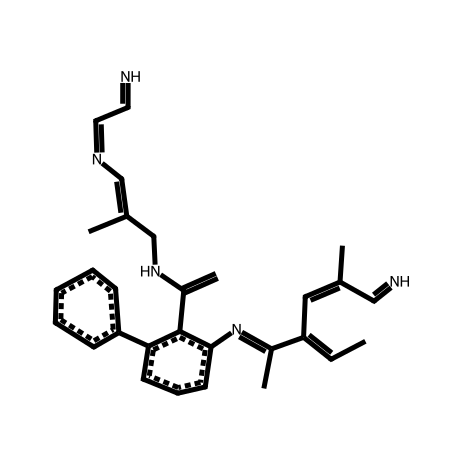 C=C(NC/C(C)=C/N=C\C=N)c1c(/N=C(C)/C(/C=C(/C)C=N)=C/C)cccc1-c1ccccc1